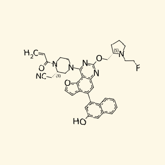 C=CC(=O)N1CCN(c2nc(OC[C@@H]3CCCN3CCF)nc3cc(-c4cc(O)cc5ccccc45)c4ccoc4c23)C[C@@H]1CC#N